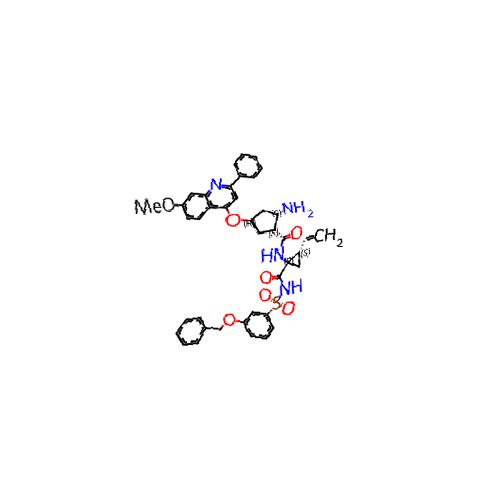 C=C[C@@H]1C[C@]1(NC(=O)[C@@H]1C[C@@H](Oc2cc(-c3ccccc3)nc3cc(OC)ccc23)C[C@@H]1N)C(=O)NS(=O)(=O)c1cccc(OCc2ccccc2)c1